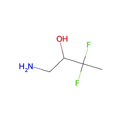 CC(F)(F)C(O)CN